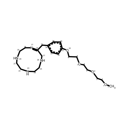 COCCOCCOCCOc1ccc(CC2=NCCNCCNCCNC2)cc1